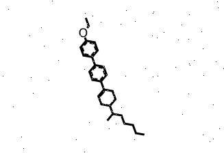 CCCCCC(C)C1CC=C(c2ccc(-c3ccc(OCC)cc3)cc2)CC1